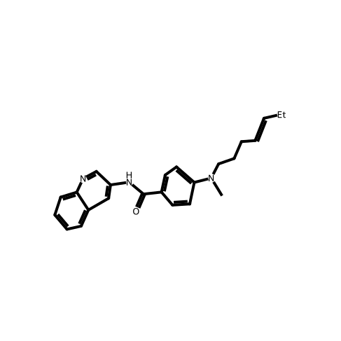 CC/C=C/CCCN(C)c1ccc(C(=O)Nc2cnc3ccccc3c2)cc1